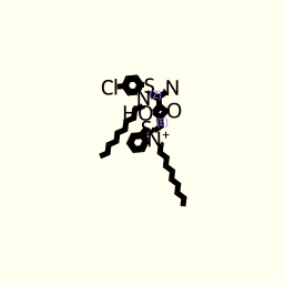 CCCCCCCCCCN1/C(=C(/C#N)C2=C(O)/C(=C\c3sc4ccccc4[n+]3CCCCCCCCCC)C2=O)Sc2ccc(Cl)cc21